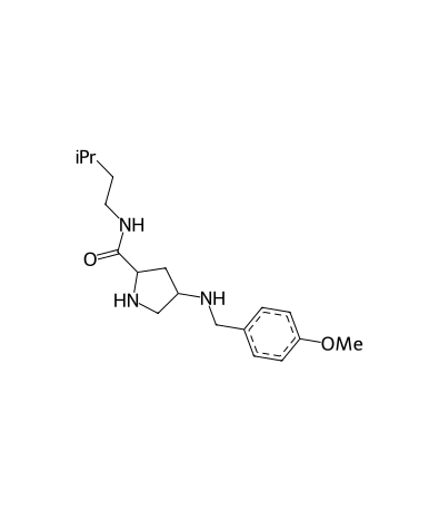 COc1ccc(CNC2CNC(C(=O)NCCC(C)C)C2)cc1